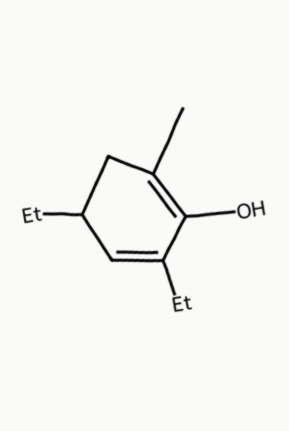 CCC1=CC(CC)CC(C)=C1O